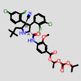 COc1cc(C(=O)OC(C)OC(=O)OC(C)C)ccc1NC(=O)[C@@H]1NC(CC(C)(C)C)[C@](C#N)(c2ccc(Cl)cc2F)C1c1cccc(Cl)c1F